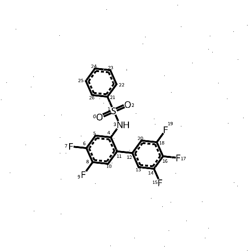 O=S(=O)(Nc1cc(F)c(F)cc1-c1cc(F)c(F)c(F)c1)c1ccccc1